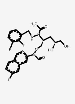 CC(=O)N(NCc1cccc(F)c1F)[C@H](CON(C=O)c1cc2cc(F)ccc2cn1)C[C@H](O)CO